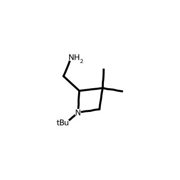 CC1(C)CN(C(C)(C)C)C1CN